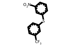 O=[N+]([O-])c1cccc(Sc2cccc(C(F)(F)F)c2)c1